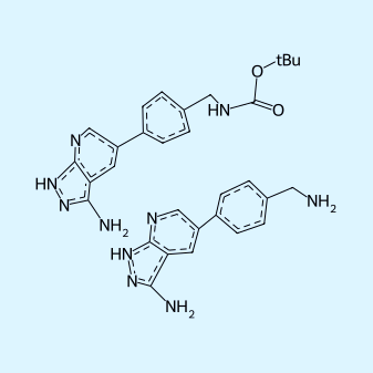 CC(C)(C)OC(=O)NCc1ccc(-c2cnc3[nH]nc(N)c3c2)cc1.NCc1ccc(-c2cnc3[nH]nc(N)c3c2)cc1